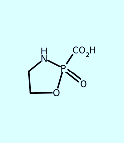 O=C(O)P1(=O)NCCO1